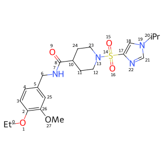 CCOc1ccc(CNC(=O)C2CCN(S(=O)(=O)c3cn(C(C)C)cn3)CC2)cc1OC